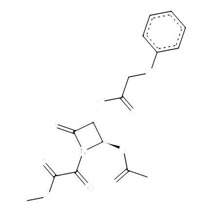 COC(=O)C(=O)N1C(=O)[C@H](OC(=O)COc2ccccc2)[C@H]1SC(C)=O